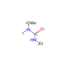 CCNC(=O)N(C)OC